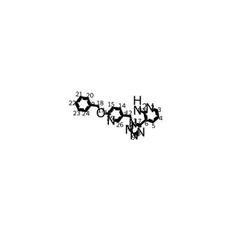 Nc1ncccc1-c1nnnn1Cc1ccc(OCc2ccccc2)nc1